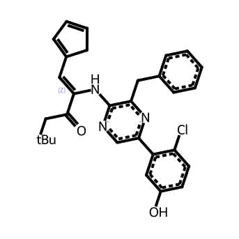 CC(C)(C)CC(=O)/C(=C/C1=CC=CC1)Nc1ncc(-c2cc(O)ccc2Cl)nc1Cc1ccccc1